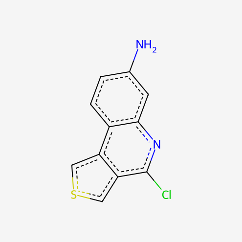 Nc1ccc2c(c1)nc(Cl)c1cscc12